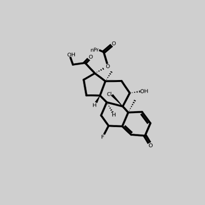 CCCC(=O)O[C@@]1(C(=O)CO)CC[C@H]2[C@@H]3CC(F)C4=CC(=O)C=C[C@]4(C)[C@@]3(Cl)[C@@H](O)C[C@@]21C